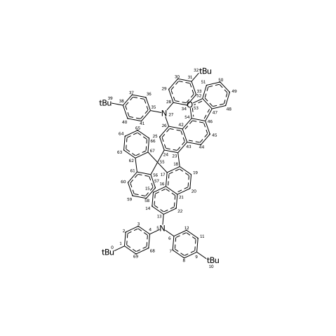 CC(C)(C)c1ccc(N(c2ccc(C(C)(C)C)cc2)c2ccc3c4c(ccc3c2)-c2c(cc(N(c3ccc(C(C)(C)C)cc3)c3ccc(C(C)(C)C)cc3)c3c2ccc2c5ccccc5oc23)C42c3ccccc3-c3ccccc32)cc1